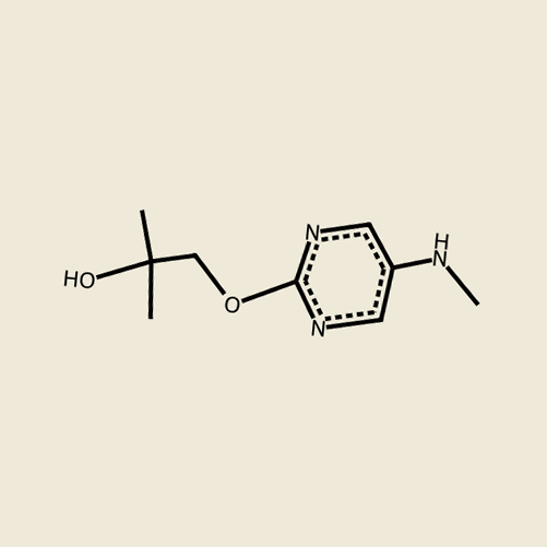 CNc1cnc(OCC(C)(C)O)nc1